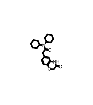 O=C1COc2ccc(CC(=O)N(C3CCCCC3)C3CCCCC3)cc2N1